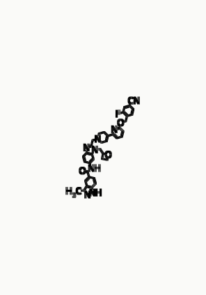 Cc1n[nH]c2ccc(C(=O)Nc3ccc4nc(CN5CC=C(c6cccc(OCc7ccc(C#N)cc7F)n6)CC5)n(CC5CCO5)c4c3)cc12